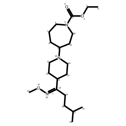 CCOC(=O)N1CCCC(N2CCC(/C(CCC(C)C)=N\OC)CC2)CC1